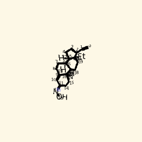 C#C[C]1CC[C@H]2[C@@H]3CCC4=C/C(=N/O)CC[C@@H]4[C@H]3CC[C@@]12CC